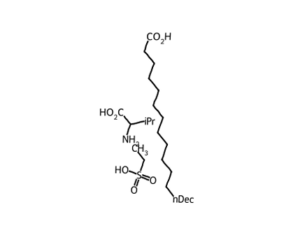 CC(C)C(N)C(=O)O.CCCCCCCCCCCCCCCCCCCCCC(=O)O.CCS(=O)(=O)O